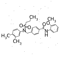 CCCS(=O)(=O)N(Cc1ccc(C(=O)Nc2ccccc2OC)cc1)c1ccc(C)c(C)c1